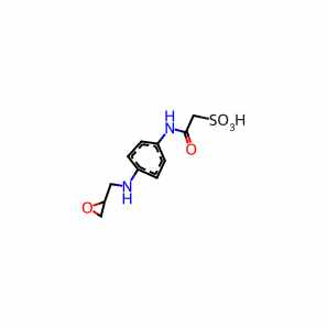 O=C(CS(=O)(=O)O)Nc1ccc(NCC2CO2)cc1